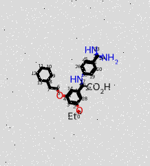 CCOc1cc(OCCC2CCCCC2)cc([C@@H](Nc2ccc(C(=N)N)cc2)C(=O)O)c1